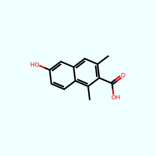 Cc1cc2cc(O)ccc2c(C)c1C(=O)O